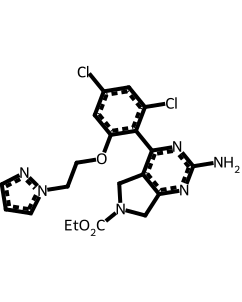 CCOC(=O)N1Cc2nc(N)nc(-c3c(Cl)cc(Cl)cc3OCCn3cccn3)c2C1